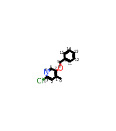 Cc1cc(Cl)ncc1OCc1ccccc1